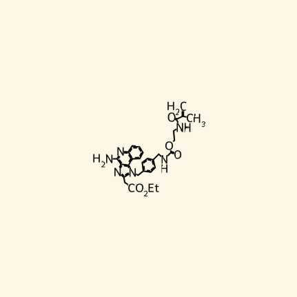 C=C(C)C(=O)NCCOC(=O)NCc1ccc(Cn2c(CC(=O)OCC)nc3c(N)nc4ccccc4c32)cc1